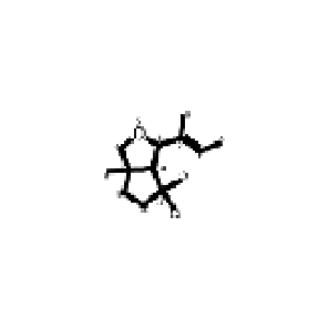 CC=C(C)C1OCC2(C)CCC(C)(C)C12